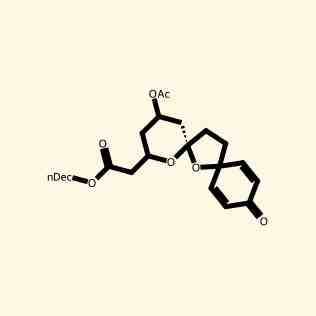 CCCCCCCCCCOC(=O)CC1CC(OC(C)=O)C[C@@]2(CCC3(C=CC(=O)C=C3)O2)O1